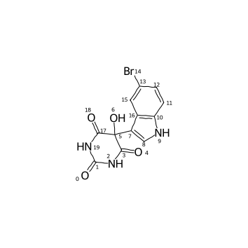 O=C1NC(=O)C(O)(c2c[nH]c3ccc(Br)cc23)C(=O)N1